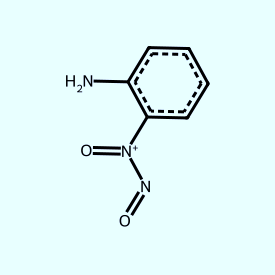 Nc1ccccc1[N+](=O)N=O